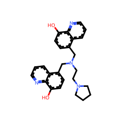 Oc1ccc(CN(CCN2CCCC2)Cc2ccc(O)c3ncccc23)c2cccnc12